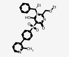 CCOCc1nc(=O)c(S(=O)(=O)c2ccc(-c3cccnc3C)cc2)c(O)n1[C@@H](CC)c1ccccc1